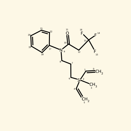 C=C[Si](C)(C=C)CCCN(C(=O)CC(F)(F)F)c1ccccc1